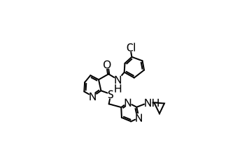 O=C(Nc1cccc(Cl)c1)c1cccnc1SCc1ccnc(NC2CC2)n1